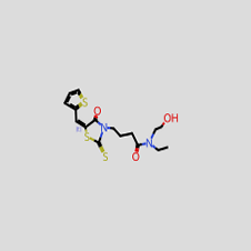 CCN(CCO)C(=O)CCCN1C(=O)/C(=C\c2cccs2)SC1=S